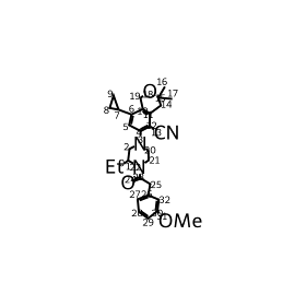 CCC1CN(c2cc(C3CC3)c3c(c2C#N)CC(C)(C)OC3)CCN1C(=O)Cc1cccc(OC)c1